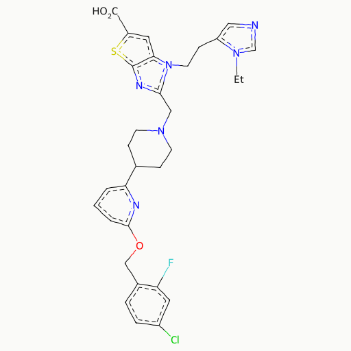 CCn1cncc1CCn1c(CN2CCC(c3cccc(OCc4ccc(Cl)cc4F)n3)CC2)nc2sc(C(=O)O)cc21